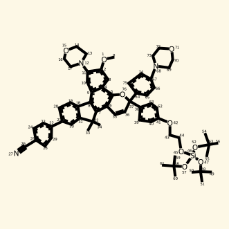 COc1cc2c3c(c4c(c2cc1N1CCOCC1)-c1ccc(-c2ccc(C#N)cc2)cc1C4(C)C)C=CC(c1ccc(OCCO[Si](OC(C)(C)C)(OC(C)(C)C)OC(C)(C)C)cc1)(c1ccc(N2CCOCC2)cc1)O3